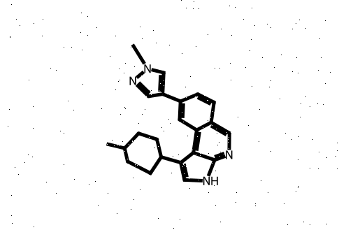 CC1CCC(c2c[nH]c3ncc4ccc(-c5cnn(C)c5)cc4c23)CC1